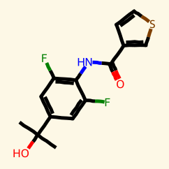 CC(C)(O)c1cc(F)c(NC(=O)c2ccsc2)c(F)c1